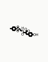 Cc1ccc(S(=O)(=O)CCNC(=O)c2cc3ccc(O)cc3oc2=O)cc1